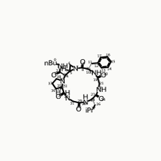 CCCCNC(=O)[C@H]1[C@@H]2CN2C(=O)[C@H](Cc2ccccc2)NC(=O)CNC(=O)[C@H](CC(C)C)NC(=O)CNC(=O)[C@@H]2CCCN21